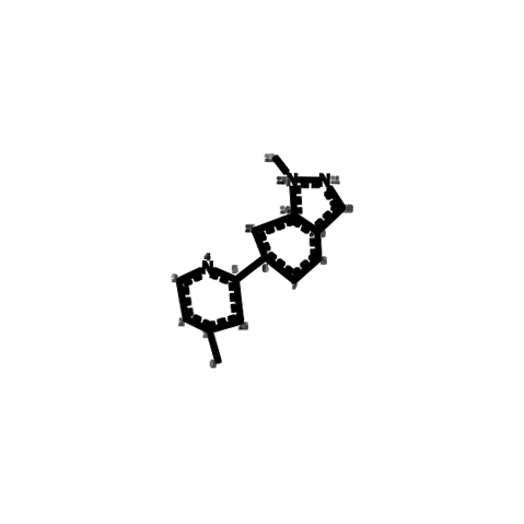 Cc1ccnc(-c2ccc3cnn(C)c3c2)c1